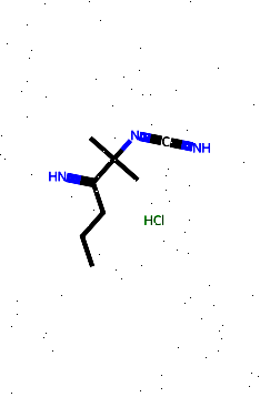 CCCC(=N)C(C)(C)N=C=N.Cl